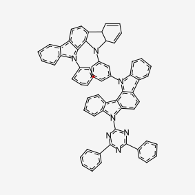 C1=CC2c3ccc4c5ccccc5n(-c5ccccc5)c4c3N(c3cccc(-n4c5ccccc5c5ccc6c(c7ccccc7n6-c6nc(-c7ccccc7)nc(-c7ccccc7)n6)c54)c3)C2C=C1